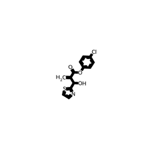 C=C(C(=O)Oc1ccc(Cl)cc1)C(O)c1nccs1